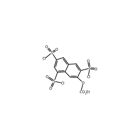 CCOC(=O)Oc1cc2c(S(=O)(=O)Cl)cc(S(=O)(=O)Cl)cc2cc1S(=O)(=O)Cl